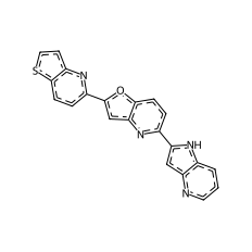 c1cnc2cc(-c3ccc4oc(-c5ccc6sccc6n5)cc4n3)[nH]c2c1